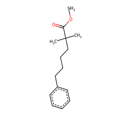 CC(C)(CCCCc1ccccc1)C(=O)O[SiH3]